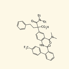 CCN(CC)C(=O)C(CCc1ccccc1)(C(=O)O)c1ccc(NC(=O)c2ccccc2-c2ccc(C(F)(F)F)cc2)c(C(=O)N(C)C)c1